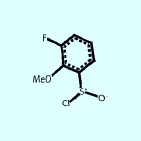 COc1c(F)cccc1[S+]([O-])Cl